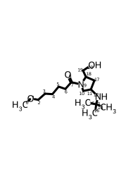 COCCCCCC(=O)N1CC(NC(C)(C)C)CC1CO